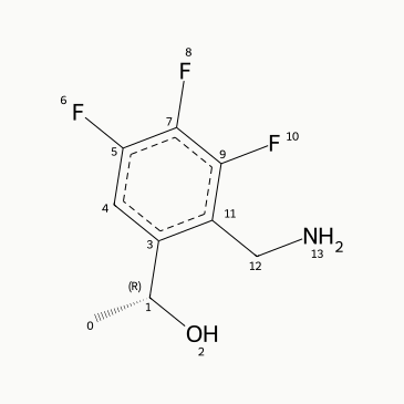 C[C@@H](O)c1cc(F)c(F)c(F)c1CN